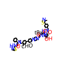 Cc1ncsc1-c1ccc(CNC(=O)[C@@H]2C[C@@H](O)CN2C(=O)[C@@H](NC(=O)CN2CCN(c3ccc(-c4ccc(CN(C)C(C(=O)Nc5nccs5)c5ccccc5)c(C=O)c4)cc3)CC2)C(C)(C)C)cc1